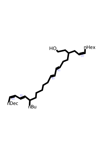 CCCCCC/C=C\CC(CCO)CC/C=C/C=C/CCCCCC(/C=C/C=C\CCCCCCCCCC)CCCC